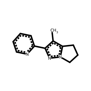 Cc1c(-c2ccccn2)nn2c1CCC2